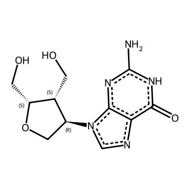 Nc1nc2c(ncn2[C@H]2CO[C@H](CO)[C@@H]2CO)c(=O)[nH]1